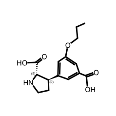 CCCOc1cc(C(=O)O)cc([C@H]2CCN[C@@H]2C(=O)O)c1